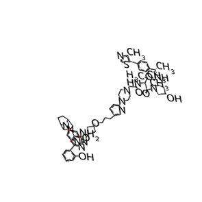 Cc1ncsc1-c1ccc([C@H](C)NC(=O)[C@@H]2C[C@@H](O)CN2C(=O)[C@@H](NC(=O)CN2CCN(c3ccc(CCCO[C@H]4C[C@H](Oc5cc(N6C7CCC6CN(c6cc(-c8ccccc8O)nnc6N)C7)ccn5)C4)cn3)CC2)C(C)(C)C)cc1